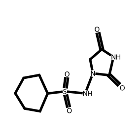 O=C1CN(NS(=O)(=O)C2CCCCC2)C(=O)N1